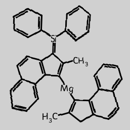 CC1=[C]([Mg][C]2=C(C)C(=[Si](c3ccccc3)c3ccccc3)c3ccc4ccccc4c32)c2c(ccc3ccccc23)C1